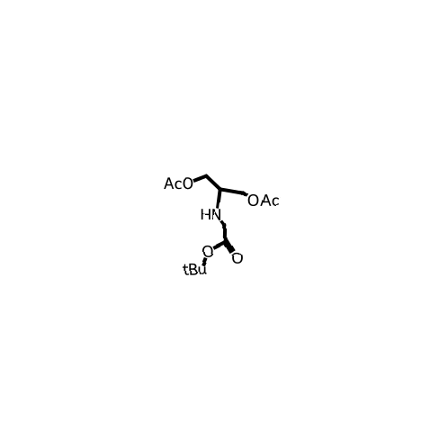 CC(=O)OCC(COC(C)=O)NCC(=O)OC(C)(C)C